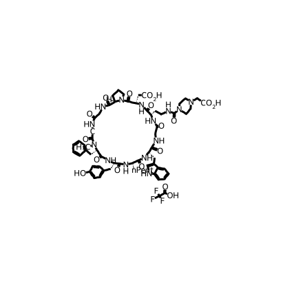 CCCCC[C@@H]1NC(=O)[C@H](Cc2ccc(O)cc2)NC(=O)[C@H](Cc2ccccc2)N(C)C(=O)CNC(=O)CNC(=O)[C@H]2CCCN2C(=O)[C@H](CC(=O)O)NC(=O)[C@H](CCNC(=O)N2CCN(CC(=O)O)CC2)NC(=O)CNC(=O)[C@H](Cc2c[nH]c3ccccc23)NC1=O.O=C(O)C(F)(F)F